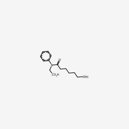 CCCCCCCCCCCCCCCC(=O)N(CC(=O)O)c1ccccc1